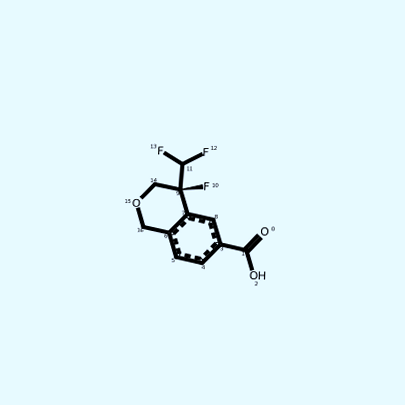 O=C(O)c1ccc2c(c1)[C@@](F)(C(F)F)COC2